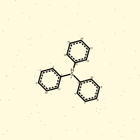 [c]1ccc([SH](c2ccccc2)c2ccccc2)cc1